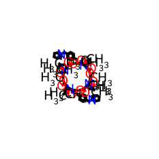 CC(C)C[C@H]1C(=O)O[C@H](Cc2ccc(CN3CC4CCC3C4)cc2)C(=O)N(C)[C@@H](CC(C)C)C(=O)O[C@H](C)C(=O)N(C)[C@@H](CC(C)C)C(=O)O[C@H](Cc2ccc(CN3CC4CCC3C4)cc2)C(=O)N(C)[C@@H](CC(C)C)C(=O)O[C@H](C)C(=O)N1C